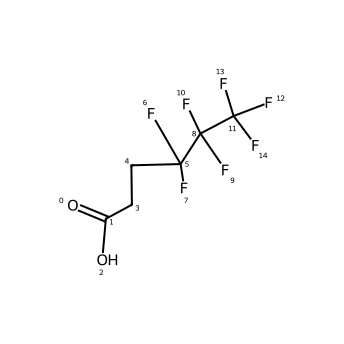 O=C(O)CCC(F)(F)C(F)(F)C(F)(F)F